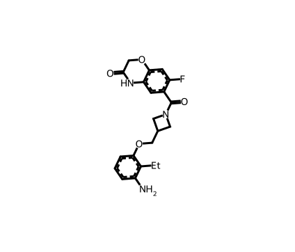 CCc1c(N)cccc1OCC1CN(C(=O)c2cc3c(cc2F)OCC(=O)N3)C1